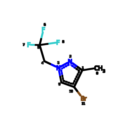 Cc1nn(CC(F)(F)F)cc1Br